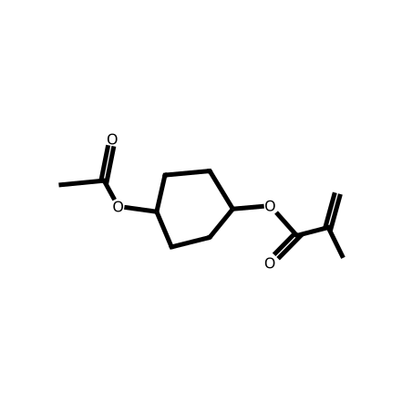 C=C(C)C(=O)OC1CCC(OC(C)=O)CC1